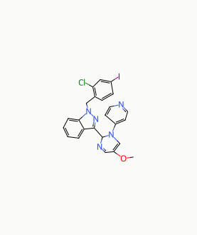 COC1=CN(c2ccncc2)C(c2nn(Cc3ccc(I)cc3Cl)c3ccccc23)N=C1